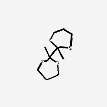 CC1(C2(C)SCCCS2)OCCCS1